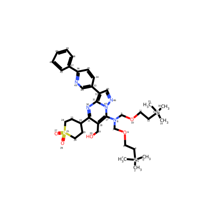 C[Si](C)(C)CCOCN(COCC[Si](C)(C)C)c1c(CO)c(C2CCS(=O)(=O)CC2)nc2c(-c3ccc(-c4ccccc4)nc3)cnn12